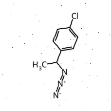 CC(N=[N+]=[N-])c1ccc(Cl)cc1